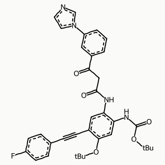 CC(C)(C)OC(=O)Nc1cc(OC(C)(C)C)c(C#Cc2ccc(F)cc2)cc1NC(=O)CC(=O)c1cccc(-n2ccnc2)c1